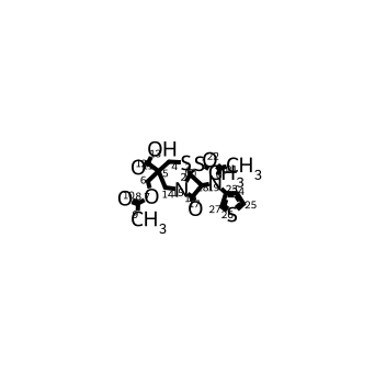 CS[C@]12SCC(COC(C)=O)(C(=O)O)CN1C(=O)C2N(C(C)=O)c1ccsc1